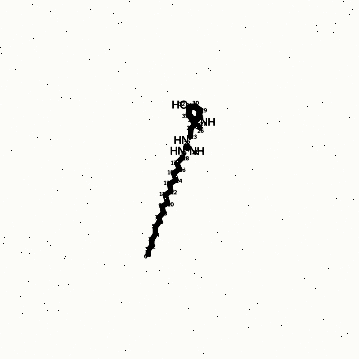 CCCCCCCCCCCCCCCCCCCNC(=N)NCCc1c[nH]c2ccc(O)cc12